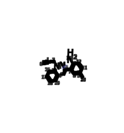 C#CCN(/N=C(\C)c1cc(C)ccc1N)c1ccccc1